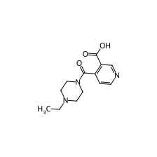 CCN1CCN(C(=O)c2ccncc2C(=O)O)CC1